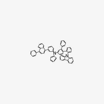 c1ccc(-c2cc(N(c3ccccc3)c3cccc(-c4ccc(-c5ccccc5)c5ccccc45)c3)ccc2-c2ccccc2-n2c3ccccc3c3ccccc32)cc1